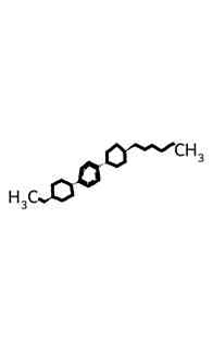 CCCCCC[C@H]1CC[C@H](c2ccc([C@H]3CC[C@H](CC)CC3)cc2)CC1